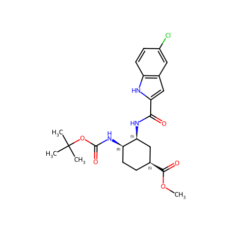 COC(=O)[C@H]1CC[C@@H](NC(=O)OC(C)(C)C)[C@@H](NC(=O)c2cc3cc(Cl)ccc3[nH]2)C1